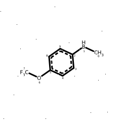 CBc1ccc(OC(F)(F)F)cc1